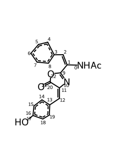 CC(=O)N/C(=C/c1ccccc1)C1=N/C(=C/c2ccc(O)cc2)C(=O)O1